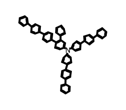 c1ccc(-c2ccc(-c3ccc(-c4ccc(N(c5ccc(-c6ccc(-c7ccccc7)cc6)cc5)c5ccc(-c6ccc(-c7ccccc7)cc6)cc5)cc4-c4ccccc4)cc3)cc2)cc1